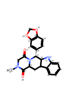 CN1CC(=O)N2C(CC3c4ccccc4NC3[C@H]2c2ccc3c(c2)OCO3)C1=O